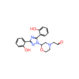 O=CCN1CCOC(n2nc(-c3ccccc3O)nc2-c2ccccc2O)C1